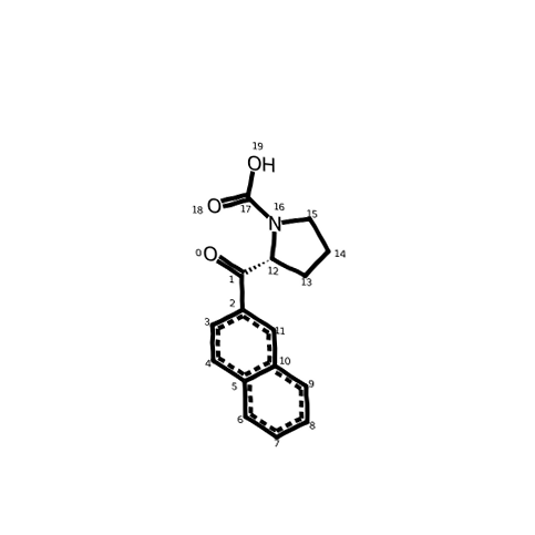 O=C(c1ccc2ccccc2c1)[C@H]1CCCN1C(=O)O